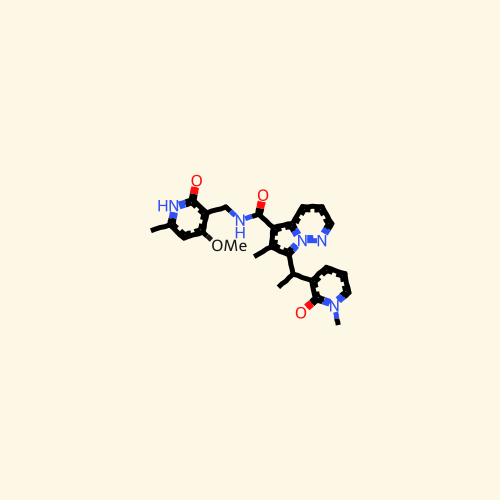 COc1cc(C)[nH]c(=O)c1CNC(=O)c1c(C)c(C(C)c2cccn(C)c2=O)n2ncccc12